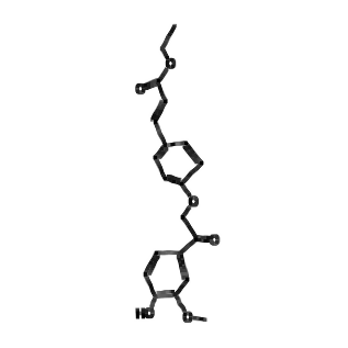 CCOC(=O)/C=C/c1ccc(OCC(=O)c2ccc(O)c(OC)c2)cc1